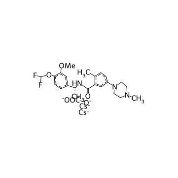 COc1cc([C@@H](C)NC(=O)c2cc(N3CCN(C)CC3)ccc2C)ccc1OC(F)F.O=C([O-])[O-].[Cs+].[Cs+]